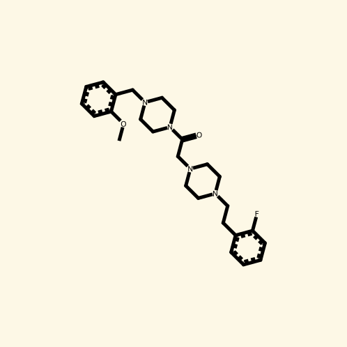 COc1ccccc1CN1CCN(C(=O)CN2CCN(CCc3ccccc3F)CC2)CC1